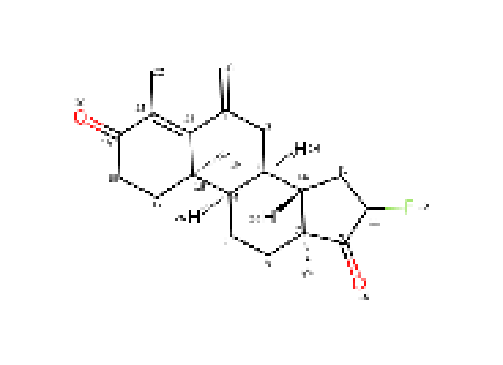 C=C1C[C@@H]2[C@@H](CC[C@]3(C)C(=O)C(F)C[C@@H]23)[C@@]2(C)CCC(=O)C(C)=C12